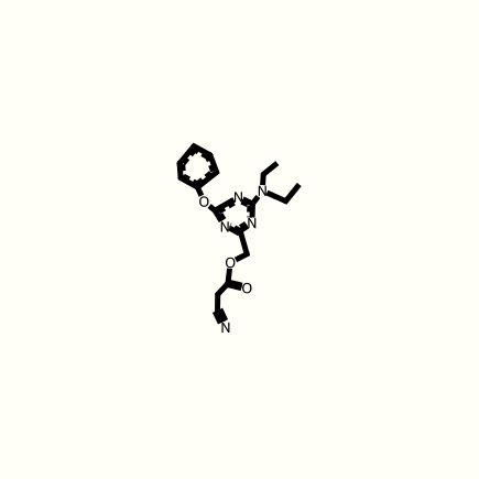 CCN(CC)c1nc(COC(=O)CC#N)nc(Oc2ccccc2)n1